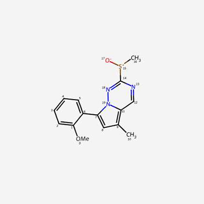 COc1ccccc1-c1cc(C)c2cnc([S+](C)[O-])nn12